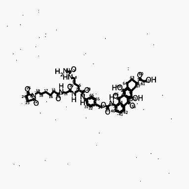 NC(=O)NCCCC(NC(=O)CNC(=O)CCCCCN1C(=O)C=CC1=O)C(=O)Nc1ccc(COC(=O)Nc2cccc3c2C(=O)c2c(O)c4c(c(O)c2C3=O)C[C@@H](C(=O)CO)CC4)cc1